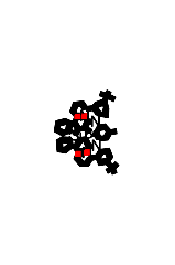 Cc1cc2c3c(c1)N(c1ccc(C(C)(C)C)cc1-c1ccccn1)c1cccc4c1B3c1c(cccc1[Si]4(c1ccccc1)c1ccccc1)N2c1ccc(C(C)(C)C)cc1-c1ccccn1